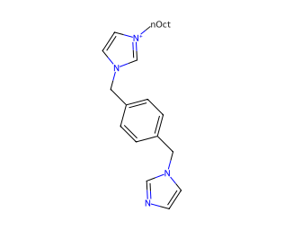 CCCCCCCC[n+]1ccn(Cc2ccc(Cn3ccnc3)cc2)c1